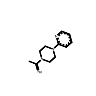 CC(=N)N1CCN(c2ccccn2)CC1